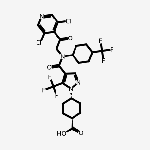 O=C(CN(C(=O)c1cnn([C@H]2CC[C@H](C(=O)O)CC2)c1C(F)(F)F)C1CCC(C(F)(F)F)CC1)c1c(Cl)cncc1Cl